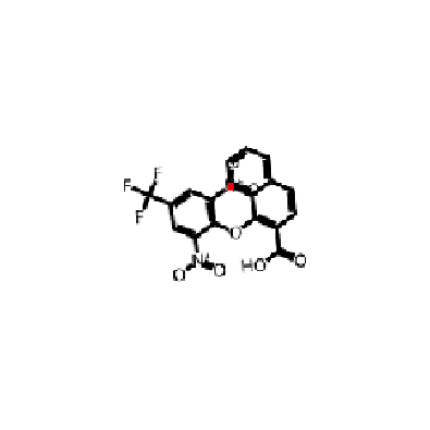 O=C(O)c1ccc2ccccc2c1Oc1c([N+](=O)[O-])cc(C(F)(F)F)cc1[N+](=O)[O-]